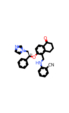 N#Cc1ccccc1NCc1c(O[C@H](Cn2ccnc2)c2ccccc2)ccc2c1CCCC2=O